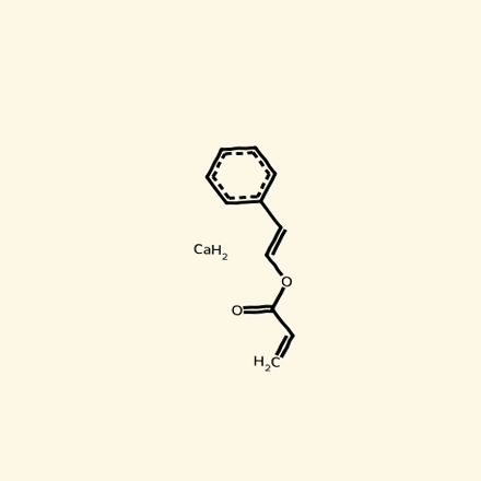 C=CC(=O)OC=Cc1ccccc1.[CaH2]